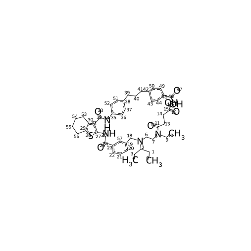 CCC(CC)N(CCN(CC)C(=O)CCC(=O)O)Cc1cccc(C(=O)Nc2sc3c(c2C(=O)Nc2ccc(CCCc4ccc(C(=O)O)cc4)cc2)CCCC3)c1